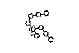 c1ccc(-c2ccc(-c3cccc(-c4cccc(-c5nc(-c6cccc(-c7ccc(-c8ccccc8)cc7)c6)c6c(n5)sc5ccccc56)c4)c3)cc2)cc1